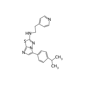 CC(C)c1ccc(-c2cnc3sc(NCCc4ccncc4)nn23)cc1